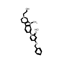 Cl.Cn1c2c(c3ccc(-n4ccc(OCc5ccccc5)cc4=O)cc31)CCN(CCO)C2